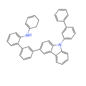 C1=CCCC(Nc2ccccc2-c2cccc(-c3ccc4c(c3)c3ccccc3n4-c3cccc(-c4ccccc4)c3)c2)=C1